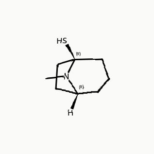 CN1[C@@H]2CCC[C@@]1(S)CC2